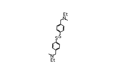 CCN(C)Cc1ccc(SSc2ccc(CN(C)CC)cc2)cc1